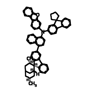 C[C@@H]1CC2C[C@@H](C1)[C@@]1(c3ccccc3-c3cc(-c4ccc(N(c5ccc6c(c5)C5(CCCC5)c5ccccc5-6)c5ccc6c(c5)oc5ccccc56)c5ccccc45)ccc31)[C@@H](C)C2